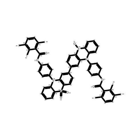 O=C(Oc1ccc([S+]2c3ccccc3[S+]([O-])c3ccc(-c4ccc5c(c4)[S+](c4ccc(OC(=O)c6c(I)ccc(I)c6I)cc4)c4ccccc4S5(=O)=O)cc32)cc1)c1c(I)ccc(I)c1I